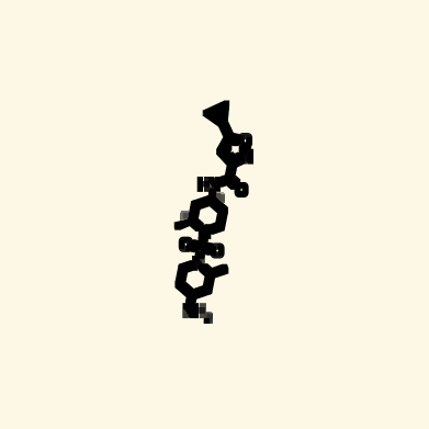 CC1CC(N)CCN1S(=O)(=O)N1CC[C@H](NC(=O)c2cc(C3CC3)on2)C[C@@H]1C